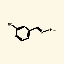 CCCCCC/N=C/c1cccc(C#N)c1